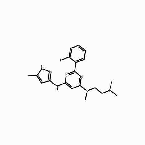 Cc1cc(Nc2cc(N(C)CCN(C)C)nc(-c3ccccc3F)n2)n[nH]1